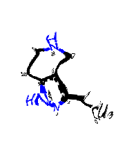 CCc1n[nH]c2c1CNCC2